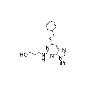 CC(C)n1cnc2c1=NC(NCCCO)=NC(SCC1C=CC=CC1)C=2